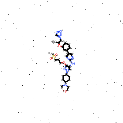 CC(Cn1cnnn1)Oc1cc(-c2cnc(Nc3cn(C4CCC(N5CCOCC5)CC4)nc3OCCCS(C)(=O)=O)nc2)ccc1C#N